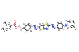 CCC(C)C(=O)OCCc1ccc(/N=N/c2cc3sc(/N=N/c4ccc(N(CC)CC)cc4)nc3s2)cc1